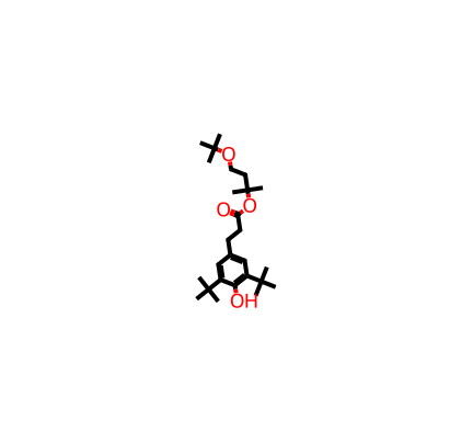 CC(C)(C)OCCC(C)(C)OC(=O)CCc1cc(C(C)(C)C)c(O)c(C(C)(C)C)c1